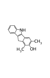 Cc1cc2c(c(C)c1O)Cc1c-2[nH]c2ccccc12